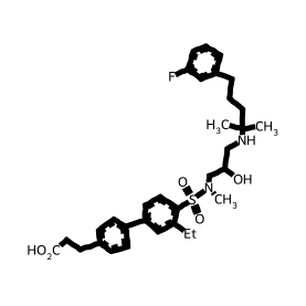 CCc1cc(-c2ccc(CCC(=O)O)cc2)ccc1S(=O)(=O)N(C)CC(O)CNC(C)(C)CCCc1cccc(F)c1